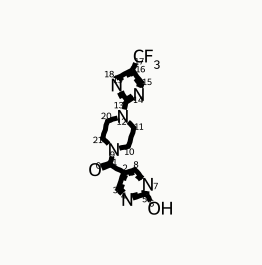 O=C(c1cnc(O)nc1)N1CCN(c2ncc(C(F)(F)F)cn2)CC1